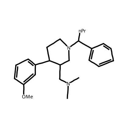 CCCC(c1ccccc1)N1CCC(c2cccc(OC)c2)C(CN(C)C)C1